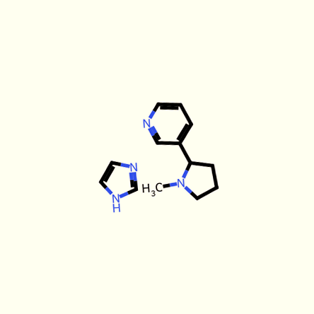 CN1CCCC1c1cccnc1.c1c[nH]cn1